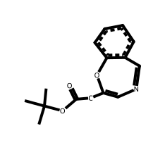 CC(C)(C)OC(=O)CC1=CN=Cc2ccccc2O1